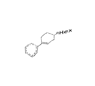 CCCCCCC1CC=C(c2ccccc2)CC1